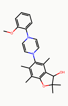 COc1ccccc1N1C=CN(c2c(C)c(C)c3c(c2C)C(O)C(C)(C)O3)C=C1